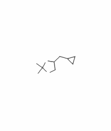 CC1(C)OCC(C[C]2CC2)O1